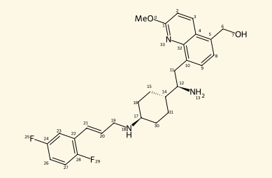 COc1ccc2c(CO)ccc(C[C@@H](N)[C@H]3CC[C@H](NC/C=C/c4cc(F)ccc4F)CC3)c2n1